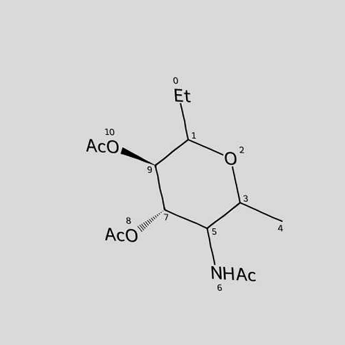 CCC1OC(C)C(NC(C)=O)[C@H](OC(C)=O)[C@H]1OC(C)=O